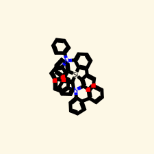 c1ccc(-c2ccccc2N(c2ccccc2)c2cccc3c2[Si](c2ccccc2)(c2ccccc2)c2c-3cccc2N(c2ccccc2)c2ccccc2)cc1